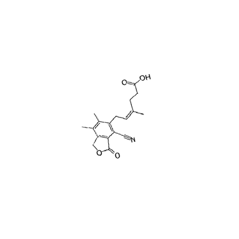 CC(=CCc1c(C)c(C)c2c(c1C#N)C(=O)OC2)CCC(=O)O